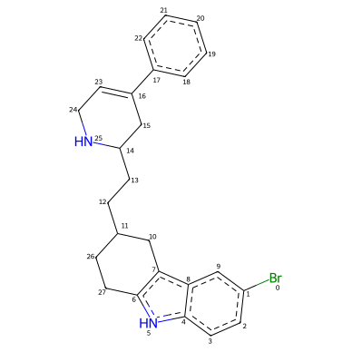 Brc1ccc2[nH]c3c(c2c1)CC(CCC1CC(c2ccccc2)=CCN1)CC3